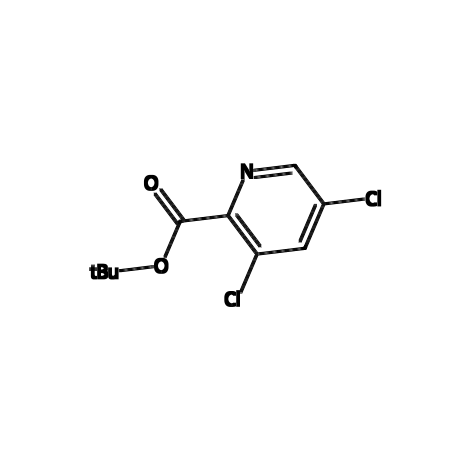 CC(C)(C)OC(=O)c1ncc(Cl)cc1Cl